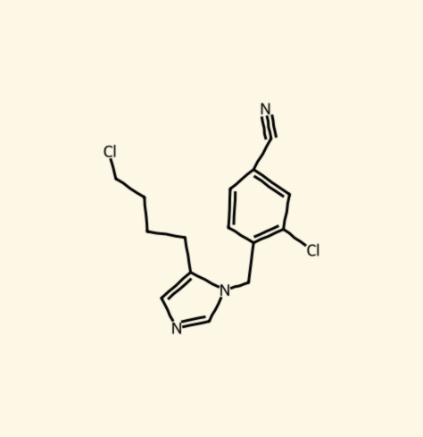 N#Cc1ccc(Cn2cncc2CCCCCl)c(Cl)c1